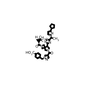 CC(c1nc(C2CN(C(=O)c3cnn(Cc4ccc(C(=O)O)cc4)c3)CC23CN(C(=O)[C@H]2CC2(C)C)C3)no1)n1ccc(C2CCCC2)n1